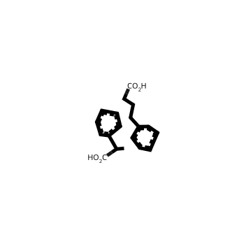 CC(C(=O)O)c1ccccc1.O=C(O)CCCc1ccccc1